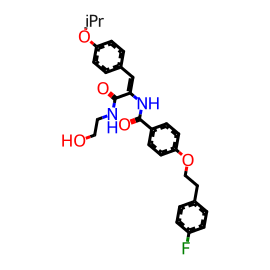 CC(C)Oc1ccc(/C=C(/NC(=O)c2ccc(OCCc3ccc(F)cc3)cc2)C(=O)NCCO)cc1